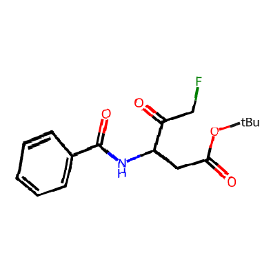 CC(C)(C)OC(=O)CC(NC(=O)c1ccccc1)C(=O)CF